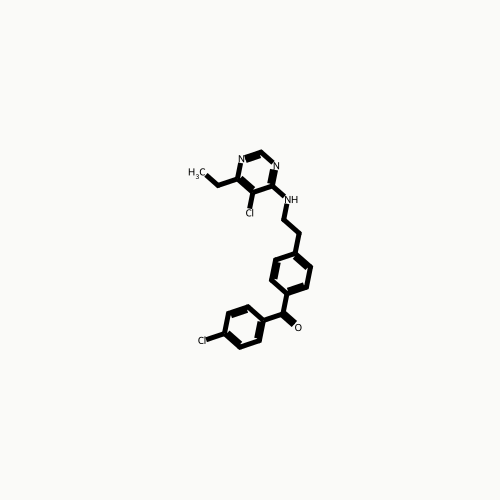 CCc1ncnc(NCCc2ccc(C(=O)c3ccc(Cl)cc3)cc2)c1Cl